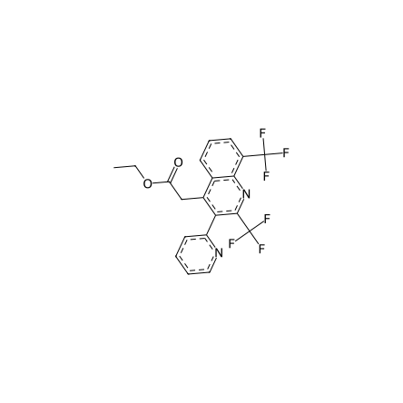 CCOC(=O)Cc1c(-c2ccccn2)c(C(F)(F)F)nc2c(C(F)(F)F)cccc12